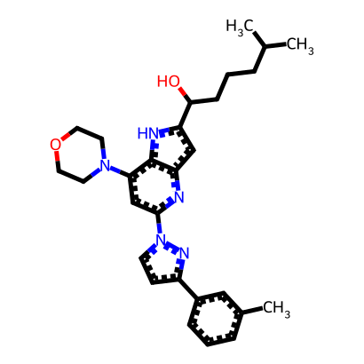 Cc1cccc(-c2ccn(-c3cc(N4CCOCC4)c4[nH]c(C(O)CCCC(C)C)cc4n3)n2)c1